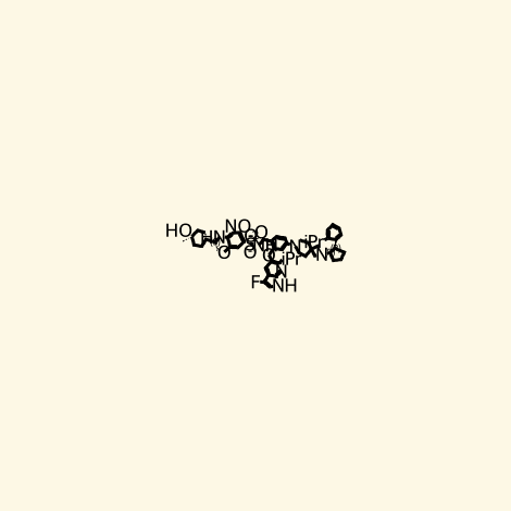 CC(C)c1ccccc1[C@H]1CCC[C@H]1N1CC2(CCN(c3ccc(C(=O)NS(=O)(=O)c4cc5c(c([N+](=O)[O-])c4)N[C@@H]([C@H]4CC[C@](C)(O)CC4)CO5)c(Oc4cc5c(F)c[nH]c5nc4C(C)C)c3)CC2)C1